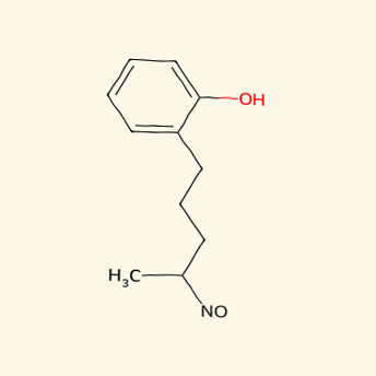 CC(CCCc1ccccc1O)N=O